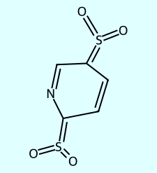 O=S(=O)=C1C=CC(=S(=O)=O)N=C1